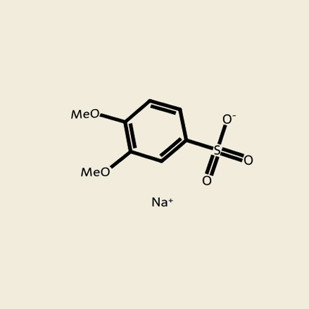 COc1ccc(S(=O)(=O)[O-])cc1OC.[Na+]